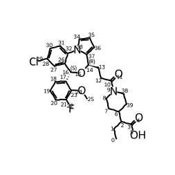 CCC(C(=O)O)C1CCN(C(=O)CC[C@H]2O[C@H](c3cccc(F)c3OC)c3cc(Cl)ccc3-n3cccc32)CC1